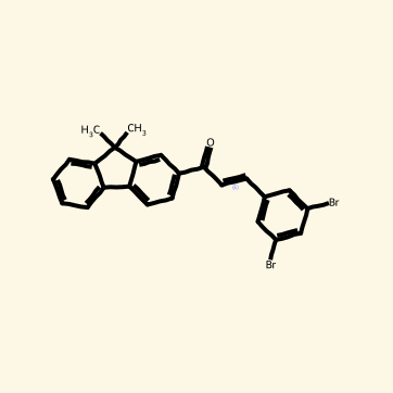 CC1(C)c2ccccc2-c2ccc(C(=O)/C=C/c3cc(Br)cc(Br)c3)cc21